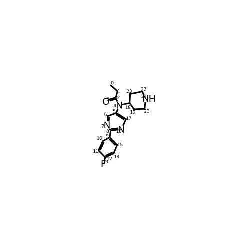 CCC(=O)N(c1cnc(-c2ccc(F)cc2)nc1)C1CCNCC1